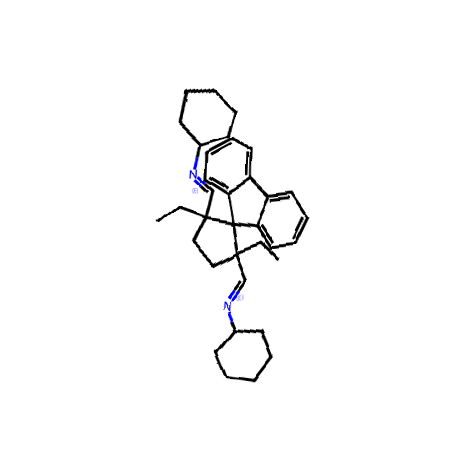 CCC1(/C=N/C2CCCCC2)CCC(/C=N/C2CCCCC2)(CC)C12c1ccccc1-c1ccccc12